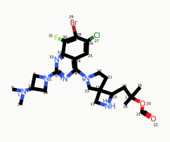 CN(C)C1CN(c2nc(N3CCC4(CNC4CC(C)(C)OC=O)C3)c3cc(Cl)c(Br)c(F)c3n2)C1